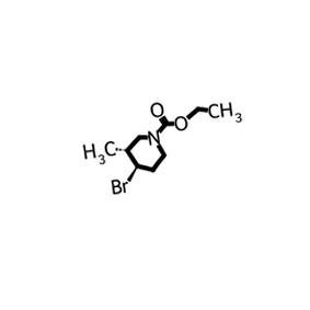 CCOC(=O)N1CC[C@@H](Br)[C@H](C)C1